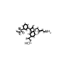 Cc1c(-c2cccc(S(=O)(=O)N(C)C)c2)c2cc(C(F)F)ccc2n1CC(F)=CCN.Cl